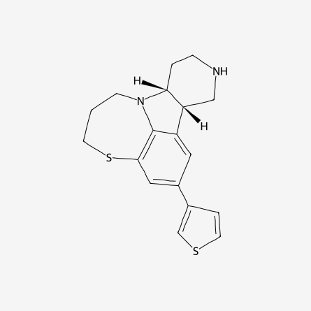 c1cc(-c2cc3c4c(c2)[C@H]2CNCC[C@H]2N4CCCS3)cs1